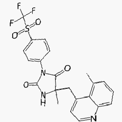 Cc1cccc2nccc(CC3(C)NC(=O)N(c4ccc(S(=O)(=O)C(F)(F)F)cc4)C3=O)c12